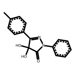 Cc1ccc(C2=NN(c3ccccc3)C(=O)C2(O)O)cc1